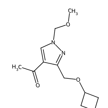 COCn1cc(C(C)=O)c(COC2CCC2)n1